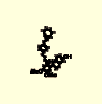 COc1cc(NCCCc2ccc(CCN3CCCCCC3)cc2)c(C2CCc3cc(O)ccc3C2)cc1OC